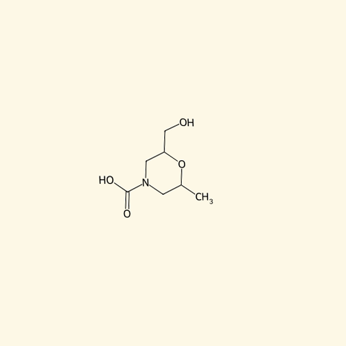 CC1CN(C(=O)O)CC(CO)O1